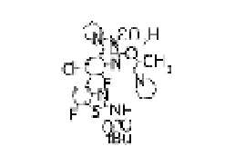 CC(CN1CCCCC1)Oc1nc(N2C3CCC2C(NC(=O)O)C3)c2cc(Cl)c(-c3ccc(F)c4sc(NC(=O)OC(C)(C)C)nc34)c(F)c2n1